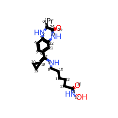 CC(C)C1Nc2ccc(C(NCCCCCC(=O)NO)=C3CC3)cc2NC1=O